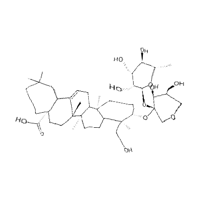 C[C@@H]1O[C@@H](O[C@]2(O[C@H]3CC[C@@]4(C)C(CC[C@]5(C)C4CC=C4C6CC(C)(C)CC[C@]6(C(=O)O)CC[C@]45C)[C@]3(C)CO)COC[C@H](O)[C@@H]2O)[C@H](O)[C@H](O)[C@H]1O